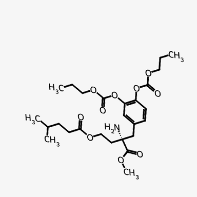 CCCOC(=O)Oc1ccc(C[C@](N)(CCOC(=O)CCC(C)C)C(=O)OC)cc1OC(=O)OCCC